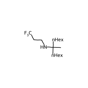 CCCCCCC(C)(CCCCCC)NCCC(F)(F)F